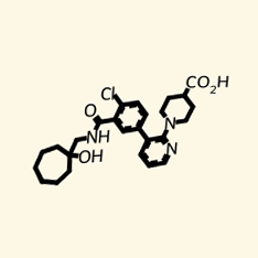 O=C(NCC1(O)CCCCCC1)c1cc(-c2cccnc2N2CCC(C(=O)O)CC2)ccc1Cl